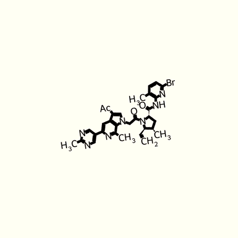 C=C[C@@H]1[C@@H](C)C[C@@H](C(=O)Nc2nc(Br)ccc2C)N1C(=O)Cn1cc(C(C)=O)c2cc(-c3cnc(C)nc3)nc(C)c21